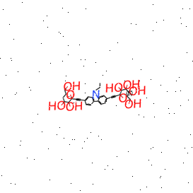 CCCn1c2cc(C#CC3OC(CO)CC(O)C3O)ccc2c2ccc(C#CC3OC(CO)[C@@H](O)C(O)C3O)cc21